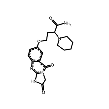 NC(=O)C(CCOc1ccc2nc3n(c(=O)c2c1)CC(=O)N3)N1CCCCC1